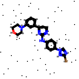 Brc1ncn(-c2ccc(Nc3nccc(-c4cccc(N5CCOCC5)c4)n3)cc2)n1